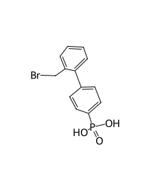 O=P(O)(O)c1ccc(-c2ccccc2CBr)cc1